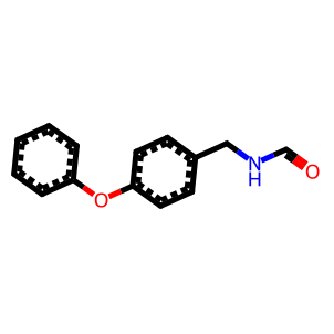 O=CNCc1ccc(Oc2ccccc2)cc1